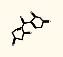 O=C1CC=C(C(=O)C2=CCC(=O)CC2=O)C(=O)C1